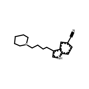 N#Cc1ccc2[nH]cc(CCCCN3CC[CH]CC3)c2c1